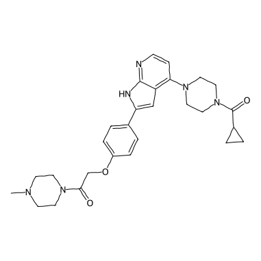 CN1CCN(C(=O)COc2ccc(-c3cc4c(N5CCN(C(=O)C6CC6)CC5)ccnc4[nH]3)cc2)CC1